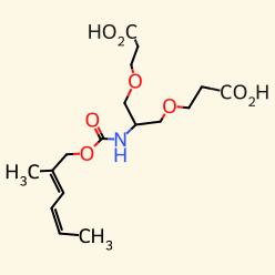 C/C=C\C=C(/C)COC(=O)NC(COCCC(=O)O)COCCC(=O)O